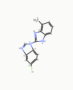 Cc1cccc2[nH]c(-n3[c]nc4cc(F)ccc43)nc12